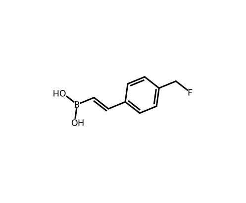 OB(O)C=Cc1ccc(CF)cc1